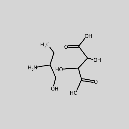 CCC(N)CO.O=C(O)C(O)C(O)C(=O)O